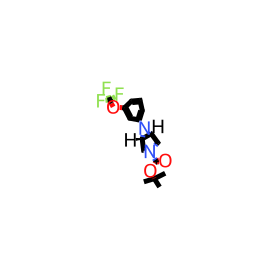 CC(C)(C)OC(=O)N1C[C@@H]2[C@H](C1)N2c1cccc(OC(F)(F)F)c1